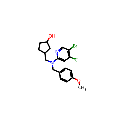 COc1ccc(CN(CC2CCC(O)C2)c2cc(Cl)c(Br)cn2)cc1